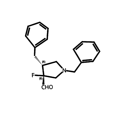 O=C[C@]1(F)CN(Cc2ccccc2)C[C@H]1Cc1ccccc1